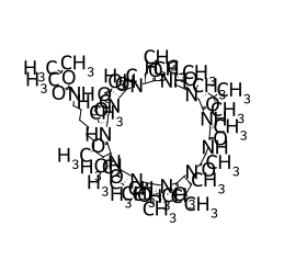 CC[C@H]1NC(=O)[C@H]([C@H](O)[C@H](C)CCCCCCNC(=O)OC(C)(C)C)N(C)C(=O)[C@@H](C(C)C)N(C)C(=O)[C@@H](CC(C)C)N(C)C(=O)[C@H](CC(C)C)N(C)C(=O)[C@H](C)NC(=O)[C@@H](C)NC(=O)[C@@H](CC(C)C)N(C)C(=O)[C@@H](C(C)C)NC(=O)[C@H](CC(C)C)N(C)C(=O)[C@@H](C(=O)O)N(C)C1=O